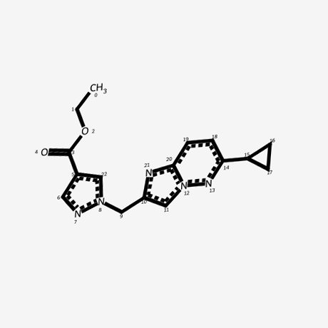 CCOC(=O)c1cnn(Cc2cn3nc(C4CC4)ccc3n2)c1